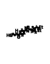 CCN(CC)Cc1sc(-c2nc(-c3ccc(C(=O)NCCO)cc3)no2)cc1C